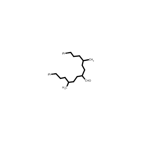 CC(C)CCCC(C)CCC(C=O)CCC(C)CCCC(C)C